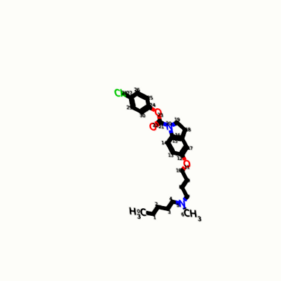 CCCCCN(C)CCCCOc1ccc2c(c1)CCN2C(=O)Oc1ccc(Cl)cc1